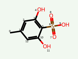 Cc1cc(O)c(S(=O)(=O)O)c(O)c1